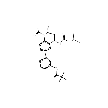 CC(=O)N1c2ccc(-c3cccc(NC(=O)C(C)(C)C)c3)cc2[C@H](NC(=O)OC(C)C)C[C@@H]1C